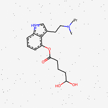 CC(C)N(C)CCc1c[nH]c2cccc(OC(=O)CCCC(O)O)c12